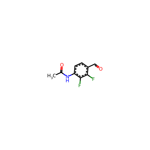 CC(=O)Nc1ccc(C=O)c(F)c1F